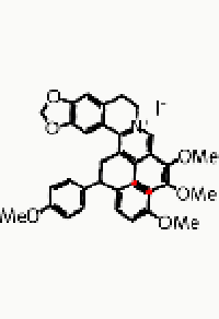 COc1ccc(C(Cc2c3[n+](cc4c(OC)c(OC)ccc24)CCc2cc4c(cc2-3)OCO4)c2ccc(OC)cc2)cc1.[I-]